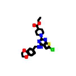 CCOC(=O)C1CCN(c2nc(NCc3ccc4c(c3)OCCO4)c3cc(Cl)sc3n2)CC1